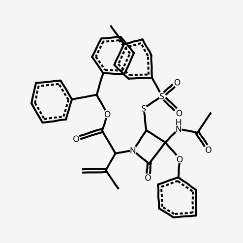 C=C(C)C(C(=O)OC(c1ccccc1)c1ccccc1)N1C(=O)C(NC(C)=O)(Oc2ccccc2)C1SS(=O)(=O)c1ccc(C)cc1